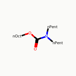 CCCCCCCCOC(=O)N(CCCCC)CCCCC